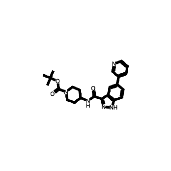 CC(C)(C)OC(=O)N1CCC(NC(=O)c2n[nH]c3ccc(-c4cccnc4)cc23)CC1